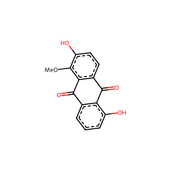 COc1c(O)ccc2c1C(=O)c1cccc(O)c1C2=O